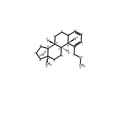 COCC1=CC=CC2CC[C@@H]3[C@H](CC[C@]4(C)CCC[C@@H]34)[C@@H]12